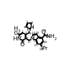 Cc1cc(Cn2cccn2)c(Cn2ccc3c(C(N)=O)cc(C(C)C)cc32)c(=O)[nH]1